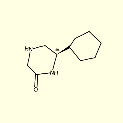 O=C1CNC[C@@H](C2CCCCC2)N1